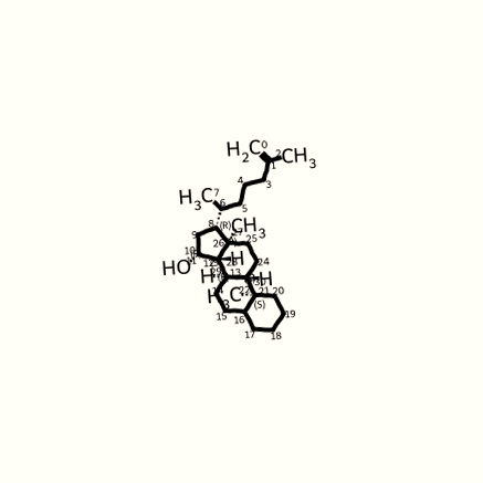 C=C(C)CCCC(C)[C@H]1C[C@@H](O)[C@H]2[C@@H]3CCC4CCCC[C@]4(C)[C@H]3CC[C@@]21C